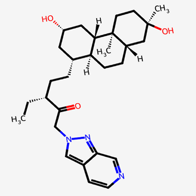 CC[C@H](CC[C@@H]1C[C@H](O)C[C@H]2[C@H]1CC[C@H]1C[C@](C)(O)CC[C@@]12C)C(=O)Cn1cc2ccncc2n1